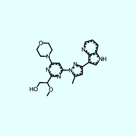 COC(CO)c1nc(N2CCOCC2)cc(-n2nc(-c3c[nH]c4cccnc34)cc2C)n1